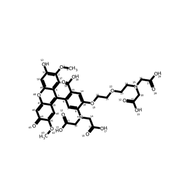 COc1cc2c(-c3cc(N(CC(=O)O)CC(=O)O)c(OCCOCCN(CC(=O)O)CC(=O)O)cc3C(=O)O)c3cc(OC)c(=O)cc-3oc2cc1O